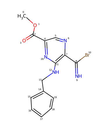 COC(=O)c1cnc(C(=N)Br)c(NCc2ccccc2)n1